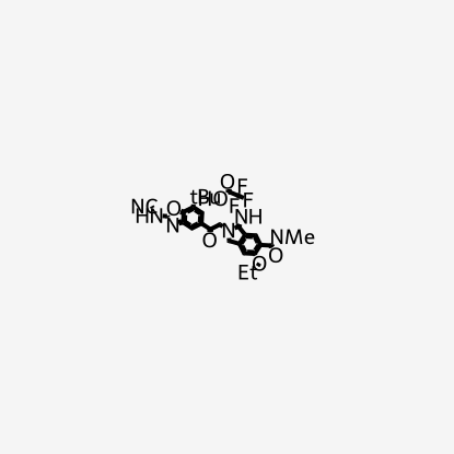 CCOc1cc2c(cc1C(=O)NC)C(=N)N(CC(=O)c1cc(C(C)(C)C)c3oc(NC#N)nc3c1)C2.O=C(O)C(F)(F)F